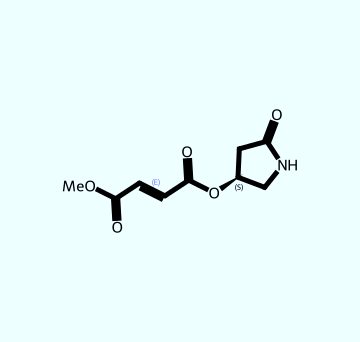 COC(=O)/C=C/C(=O)O[C@@H]1CNC(=O)C1